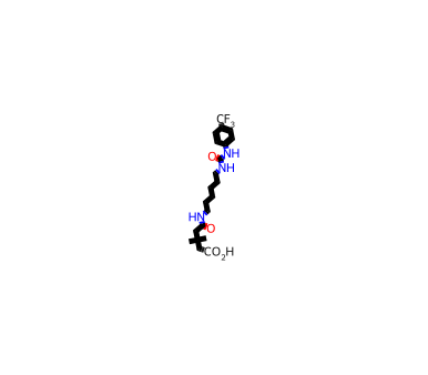 CC(C)(CC(=O)O)CC(=O)NCCCCCCNC(=O)Nc1ccc(C(F)(F)F)cc1